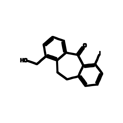 O=C1c2cccc(CO)c2CCc2cccc(I)c21